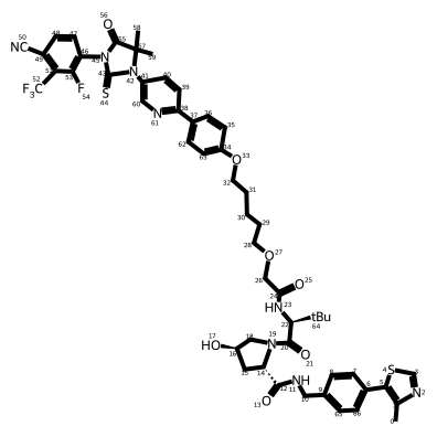 Cc1ncsc1-c1ccc(CNC(=O)[C@@H]2C[C@@H](O)CN2C(=O)[C@@H](NC(=O)COCCCCCOc2ccc(-c3ccc(N4C(=S)N(c5ccc(C#N)c(C(F)(F)F)c5F)C(=O)C4(C)C)cn3)cc2)C(C)(C)C)cc1